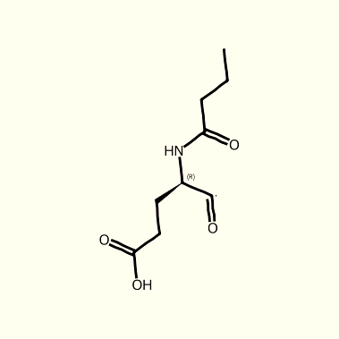 CCCC(=O)N[C@@H]([C]=O)CCC(=O)O